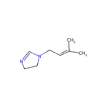 CC(C)=CCN1C=NCC1